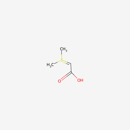 CS(C)=CC(=O)O